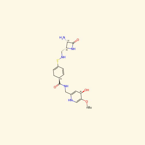 CCCCOC1=CNC(CNC(=O)[C@@H]2C=CC(SNC[C@H]3NC(=O)[C@H]3N)=CC2)=C[C@H]1O